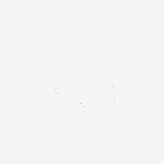 Cl.OCCNc1cc(-c2ccc3c(c2)CCCC3)nc2ccccc12